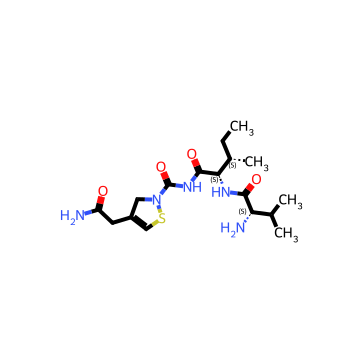 CC[C@H](C)[C@H](NC(=O)[C@@H](N)C(C)C)C(=O)NC(=O)N1CC(CC(N)=O)=CS1